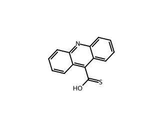 OC(=S)c1c2ccccc2nc2ccccc12